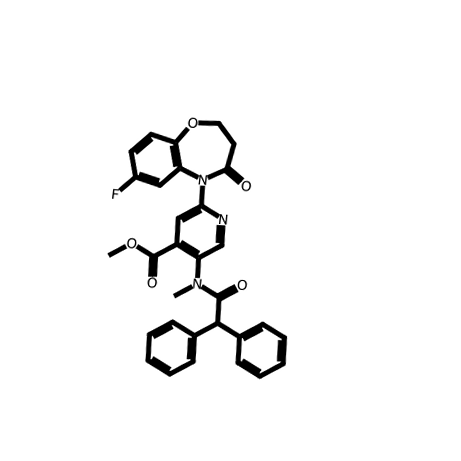 COC(=O)c1cc(N2C(=O)CCOc3ccc(F)cc32)ncc1N(C)C(=O)C(c1ccccc1)c1ccccc1